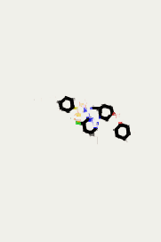 O=C(O)c1ccc(S(=O)(=O)N(Cc2ccc(Oc3ccccc3)cc2)c2ncc(C(F)(F)F)cc2Cl)cc1